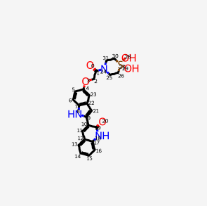 O=C(COc1ccc2[nH]c(-c3cc4ccccc4[nH]c3=O)cc2c1)N1CCS(O)(O)CC1